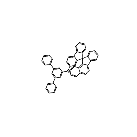 c1ccc(-c2cc(Nc3ccc4c(c3)C3(c5ccccc5-4)c4ccccc4-c4ccc5ccccc5c43)cc(-c3ccccc3)c2)cc1